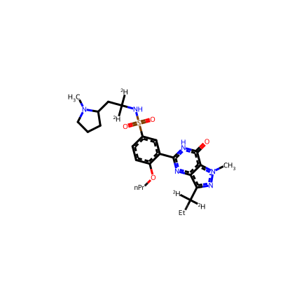 [2H]C([2H])(CC1CCCN1C)NS(=O)(=O)c1ccc(OCCC)c(-c2nc3c(C([2H])([2H])CC)nn(C)c3c(=O)[nH]2)c1